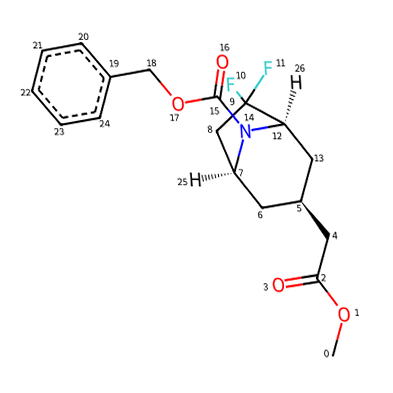 COC(=O)C[C@H]1C[C@H]2CC(F)(F)[C@@H](C1)N2C(=O)OCc1ccccc1